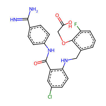 N=C(N)c1ccc(NC(=O)c2cc(Cl)ccc2NCc2cccc(F)c2OCC(=O)O)cc1